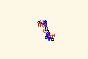 O=C1c2cc(N=Nc3c(O)c(C(=O)Nc4ccccc4)cc4ccccc34)ccc2-c2ccc(N=Nc3c(O)c(C(=O)Nc4ccccc4Cl)cc4ccccc34)cc21